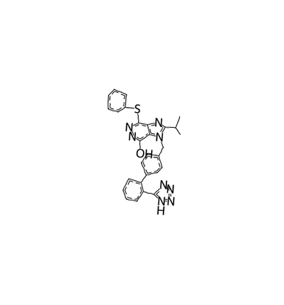 CC(C)c1nc2c(Sc3ccccc3)nnc(O)c2n1Cc1ccc(-c2ccccc2-c2nnn[nH]2)cc1